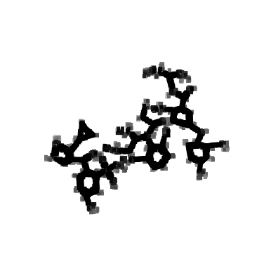 CCOC(=O)C(C)OC(=O)c1cc(Oc2ccc(C(F)(F)F)cc2Cl)ccc1[N+](=O)[O-].CCc1cccc(C)c1N(C(=O)CCl)C(C)COC.CS(=O)(=O)c1cc(C(F)(F)F)ccc1C(=O)c1cnoc1C1CC1